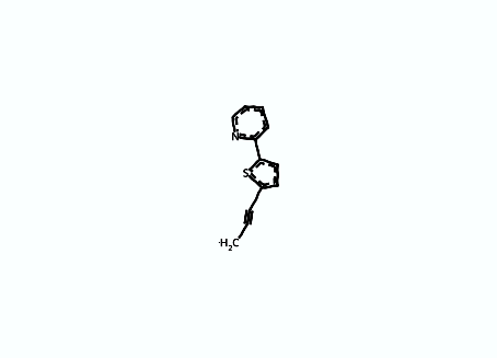 [CH2]C#Cc1ccc(-c2ccccn2)s1